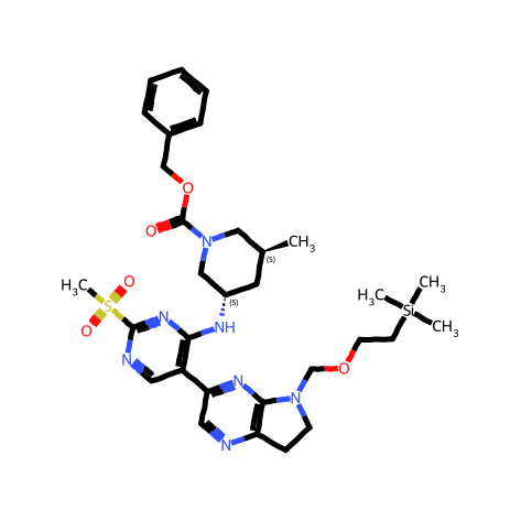 C[C@H]1C[C@H](Nc2nc(S(C)(=O)=O)ncc2-c2cnc3c(n2)N(COCC[Si](C)(C)C)CC3)CN(C(=O)OCc2ccccc2)C1